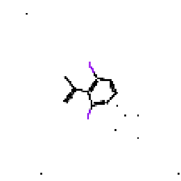 C=C(C)c1c(I)cccc1I